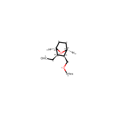 CCCCCCOC[C@H]1[C@@H](CC=O)[C@H]2CC[C@@H]1O2